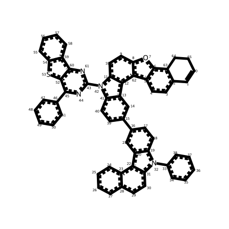 C1=Cc2ccc3c(oc4ccc5c(c6cc(-c7ccc8c(c7)c7c9ccccc9ccc7n8-c7ccccc7)ccc6n5-c5nc(-c6ccccc6)c6sc7ccccc7c6n5)c43)c2CC1